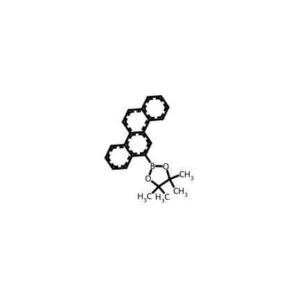 CC1(C)OB(c2cc3c4ccccc4ccc3c3ccccc23)OC1(C)C